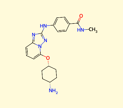 CNC(=O)c1ccc(Nc2nc3cccc(O[C@H]4CC[C@@H](N)CC4)n3n2)cc1